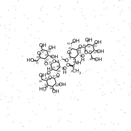 CC(=O)N[C@H]1[C@H](OC[C@H]2O[C@@H](O[C@H]3[C@H](O)[C@@H](O)[C@H](O)O[C@@H]3CO)[C@H](O)[C@@H](O[C@H]3O[C@H](CO)[C@H](O)[C@H](O)[C@H]3O)[C@H]2O)O[C@H](CO)[C@@H](O[C@@H]2O[C@H](CO)[C@H](O)[C@H](O)[C@H]2O)[C@@H]1O